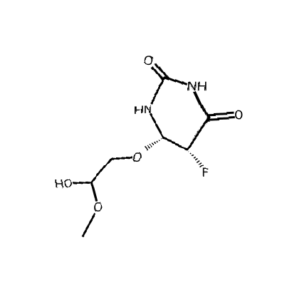 COC(O)CO[C@@H]1NC(=O)NC(=O)[C@@H]1F